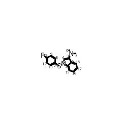 CN(C)c1cn(Sc2ccc(F)cc2)c2ccccc12